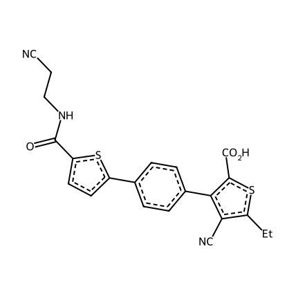 CCc1sc(C(=O)O)c(-c2ccc(-c3ccc(C(=O)NCCC#N)s3)cc2)c1C#N